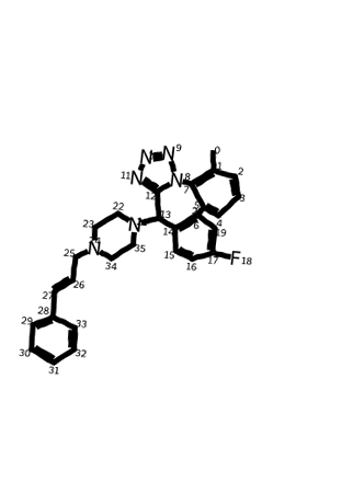 Cc1cccc(C)c1-n1nnnc1C(c1ccc(F)cc1)N1CCN(CC=Cc2ccccc2)CC1